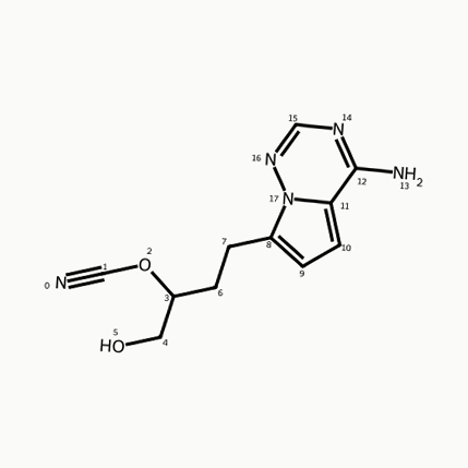 N#COC(CO)CCc1ccc2c(N)ncnn12